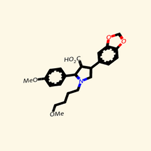 COCCCCN1CC(c2ccc3c(c2)OCO3)C(C(=O)O)C1c1ccc(OC)cc1